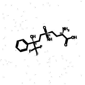 N=[S@](=O)(CC[C@H](N)C(=O)O)CC[C@](O)(c1ccccc1)C(F)(F)F